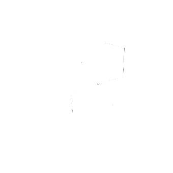 [CH2]C1CCCC12CCCC2